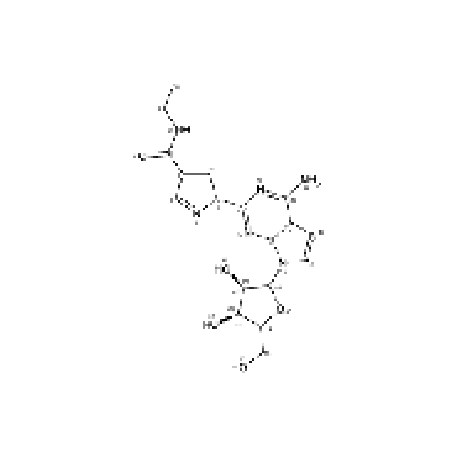 CCNC(=O)c1cnn(C2=NC3C(N=CN3C3OC(CO)[C@@H](O)[C@H]3O)C(N)=N2)c1